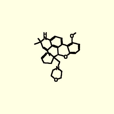 COc1cccc2c1-c1ccc3c(c1[C@H](C1(CN4CCOCC4)CC=CCC1)O2)C(C)=CC(C)(C)N3